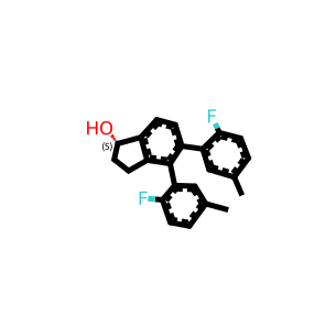 Cc1ccc(F)c(-c2ccc3c(c2-c2cc(C)ccc2F)CC[C@@H]3O)c1